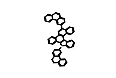 c1ccc2c(c1)CCc1ccc(-n3c4ccccc4c4c5c6ccccc6c(-c6ccc7ccc8ccccc8c7c6)cc5c5ccccc5c43)cc1-2